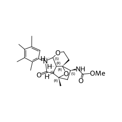 COC(=O)N[C@H]1C[C@@]2(C)O[C@@]13CCO[C@H]1[C@@H]3[C@@H]2C(=O)N1c1cc(C)c(C)c(C)c1C